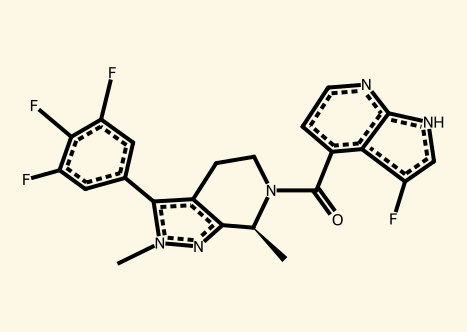 C[C@H]1c2nn(C)c(-c3cc(F)c(F)c(F)c3)c2CCN1C(=O)c1ccnc2[nH]cc(F)c12